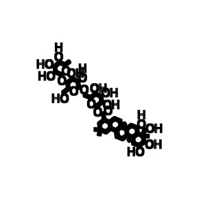 CC1OC(OC2C(CO)OC(OCC3OC(OC(=O)C4CC(C)(C)CC5C6=CCC7C(CC(O)C8C(C)(CO)C(O)C(O)CC78C)C6(C)CCC45)C(O)C(O)C3O)C(O)C2O)C(O)C(O)C1O